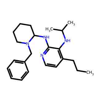 CCCc1ccnc(NC2CCCCN2Cc2ccccc2)c1NC(C)C